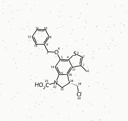 Cc1csc2c(OCc3ccccc3)cc3c(c12)[C@H](CCl)CN3C(=O)O